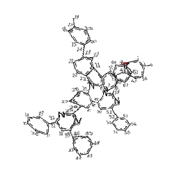 Cc1ccc(-c2ccc3c(c2)c2cc(-c4ccc(C)cc4)ccc2n3-c2ccc(-c3nc(-c4ccccc4)cc(-c4ccccc4)n3)cc2-c2cc(-c3ccccc3)nc(-c3ccccc3)n2)cc1